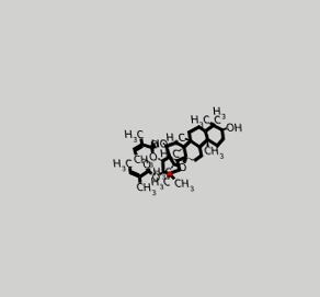 C/C=C(/C)C(=O)O[C@H]1[C@H](OC(=O)/C(C)=C\C)[C@@]23C(CC1(C)C)[C@]1(CCC4[C@@]5(C)CC[C@H](O)C(C)(C)C5CC[C@@]4(C)[C@]1(C)C[C@H]2O)O[C@@H]3C